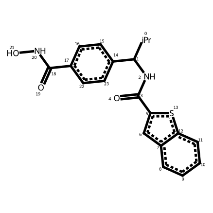 CC(C)C(NC(=O)c1cc2ccccc2s1)c1ccc(C(=O)NO)cc1